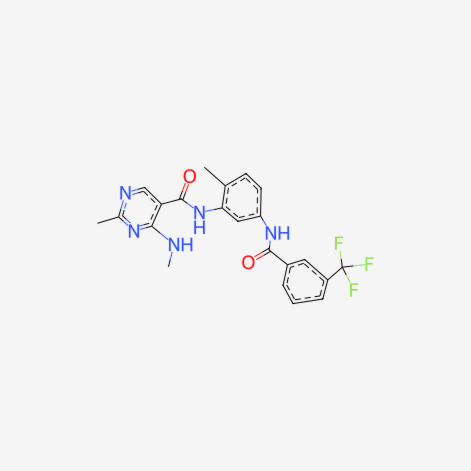 CNc1nc(C)ncc1C(=O)Nc1cc(NC(=O)c2cccc(C(F)(F)F)c2)ccc1C